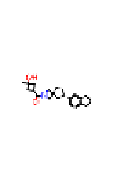 CC1(O)CC(C(=O)N2CC3(CC[C@@H](c4ccc5c(c4)CCC5)C3)C2)C1